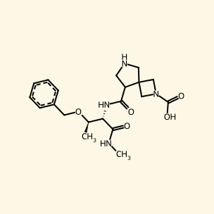 CNC(=O)[C@@H](NC(=O)C1CNCC12CN(C(=O)O)C2)[C@@H](C)OCc1ccccc1